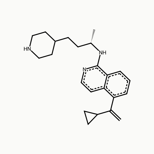 C=C(c1cccc2c(N[C@@H](C)CCC3CCNCC3)nccc12)C1CC1